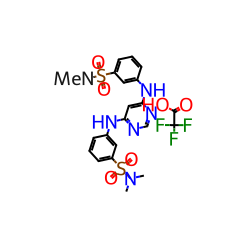 CNS(=O)(=O)c1cccc(Nc2cc(Nc3cccc(S(=O)(=O)N(C)C)c3)ncn2)c1.O=C(O)C(F)(F)F